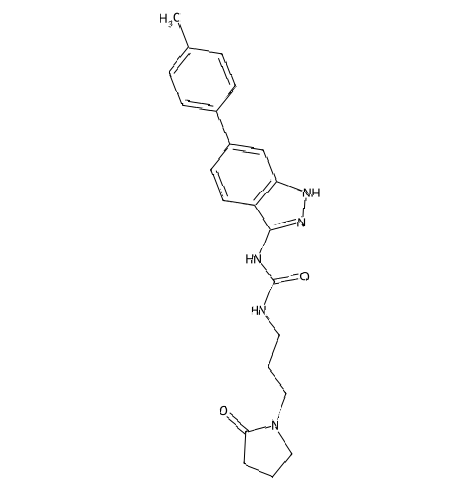 Cc1ccc(-c2ccc3c(NC(=O)NCCCN4CCCC4=O)n[nH]c3c2)cc1